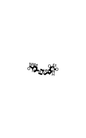 CCn1c(=O)[nH]c2cc(CN3CCN(c4ccc(C(=O)NC)nc4)CC3)[nH]c2c1=O